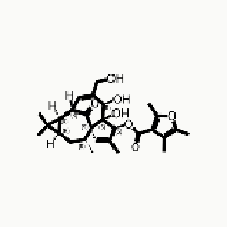 CC1=C[C@]23C(=O)[C@@H](C=C(CO)[C@@H](O)[C@]2(O)[C@H]1OC(=O)c1c(C)oc(C)c1C)[C@H]1[C@@H](C[C@H]3C)C1(C)C